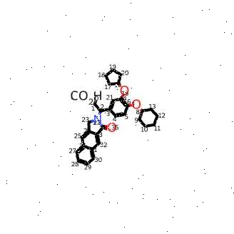 O=C(O)CC(c1ccc(OC2CCCCC2)c(OC2CCCC2)c1)N1Cc2cc3ccccc3cc2C1=O